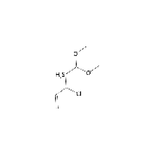 C=CC(Cl)[SiH2]C(OC)OC